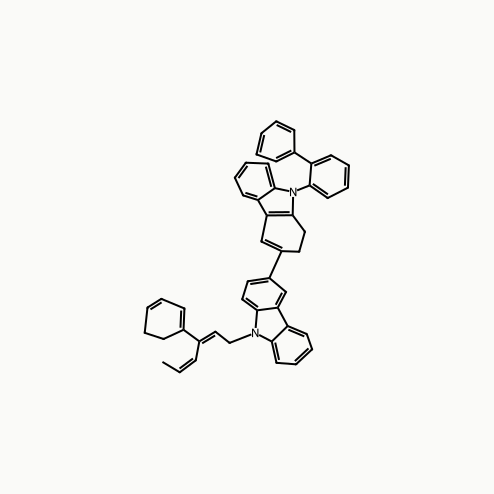 C/C=C\C(=C/Cn1c2ccccc2c2cc(C3=Cc4c(n(-c5ccccc5-c5ccccc5)c5ccccc45)CC3)ccc21)C1=CC=CCC1